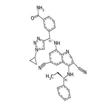 CC[C@@H](Nc1c(C#N)cnc2c(N[C@@H](c3cccc(C(N)=O)c3)c3cn(C4CC4)nn3)cc(C#N)cc12)c1ccccc1